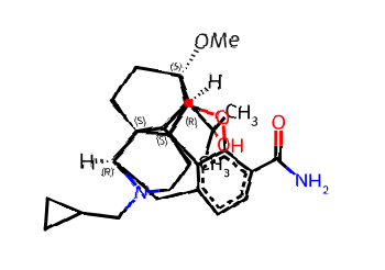 CO[C@@]12CC[C@@]3(C[C@@H]1C(C)(C)O)[C@H]1Cc4ccc(C(N)=O)c5c4[C@@]3(CCN1CC1CC1)C2O5